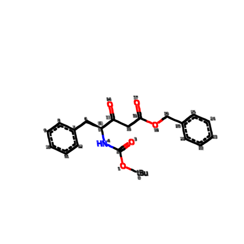 CC(C)(C)OC(=O)N[C@@H](Cc1ccccc1)C(=O)CC(=O)OCc1ccccc1